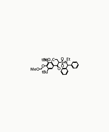 CCN(C(c1ccccc1)c1ccccc1)S(=O)(=O)C(CC(=O)O)C(=O)c1cc(C(C)(C)C)c(OCOC)c(C(C)(C)C)c1